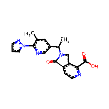 Cc1cc(C(C)N2Cc3c(ccnc3C(=O)O)C2=O)cnc1-n1cccn1